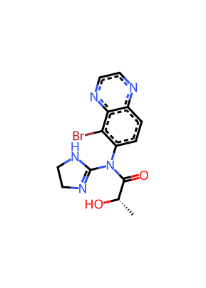 C[C@H](O)C(=O)N(C1=NCCN1)c1ccc2nccnc2c1Br